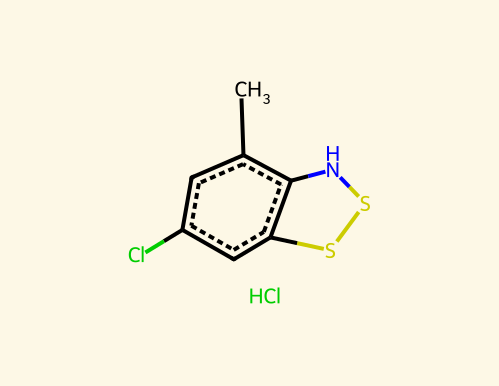 Cc1cc(Cl)cc2c1NSS2.Cl